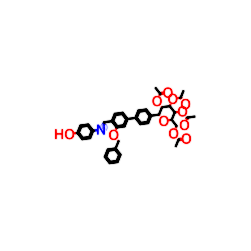 CC(=O)OCC1OC(c2ccc(-c3ccc(/C=N/c4ccc(O)cc4)c(OCc4ccccc4)c3)cc2)C(OC(C)=O)C(OC(C)=O)C1OC(C)=O